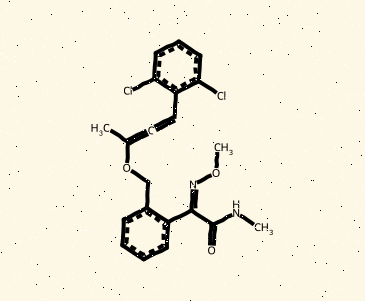 CNC(=O)C(=NOC)c1ccccc1COC(C)=C=Cc1c(Cl)cccc1Cl